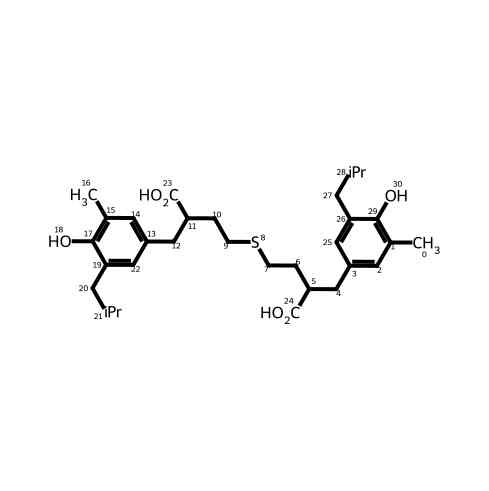 Cc1cc(CC(CCSCCC(Cc2cc(C)c(O)c(CC(C)C)c2)C(=O)O)C(=O)O)cc(CC(C)C)c1O